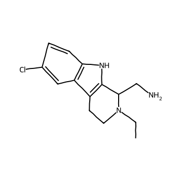 CCN1CCc2c([nH]c3ccc(Cl)cc23)C1CN